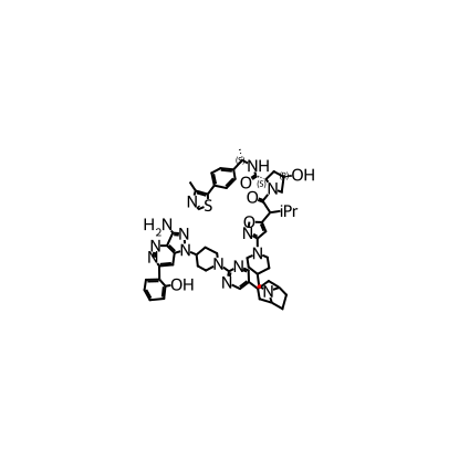 Cc1ncsc1-c1ccc([C@H](C)NC(=O)[C@@H]2C[C@@H](O)CN2C(=O)C(c2cc(N3CCC(CN4C5CCC4CC(c4cnc(N6CCC(n7nc(N)c8nnc(-c9ccccc9O)cc87)CC6)nc4)C5)CC3)no2)C(C)C)cc1